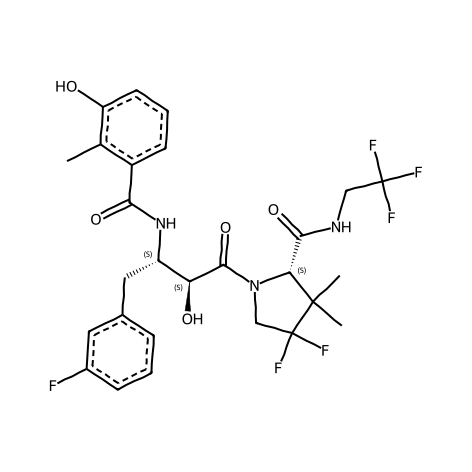 Cc1c(O)cccc1C(=O)N[C@@H](Cc1cccc(F)c1)[C@H](O)C(=O)N1CC(F)(F)C(C)(C)[C@H]1C(=O)NCC(F)(F)F